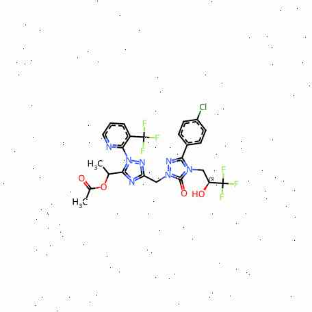 CC(=O)OC(C)c1nc(Cn2nc(-c3ccc(Cl)cc3)n(C[C@H](O)C(F)(F)F)c2=O)nn1-c1ncccc1C(F)(F)F